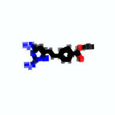 CC(C)(C)OC(=O)c1ccc(CCC2=CC(N)=NN(N)N2)cc1